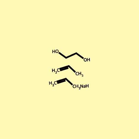 C=CC.C=CC.OCCO.[NaH]